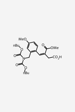 CCCCOC(=O)N(Cc1cc(OC)ccc1C=C(CC(=O)O)C(=O)OC)C(=O)OCCCC